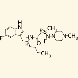 CCCC[C@@H](Cc1c[nH]c2ccc(F)cc12)NC(=O)C1=CS1(C)N(F)N1CCN(C)CC1